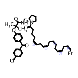 CC/C=C\C/C=C\C/C=C\C/C=C\C/C=C\CCCC(=O)N1CCC[C@H]1CNC(=O)C(C)(C)Oc1ccc(C(=O)c2ccc(Cl)cc2)cc1